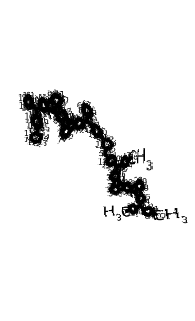 Cc1ccc(N(c2ccc(C)cc2)c2ccc3c4cccc5c6cc7c(cc6n(c3c2)c45)c2cccc3c4ccc(N(c5ccc(C)cc5)c5ccc(CC6CCCC(c8ccc(N(c9ccccc9)c9ccc%10c%11cccc%12c%13cc%14c(cc%13n(c%10c9)c%11%12)c9cccc%10c%11ccc(N(c%12ccccc%12)c%12ccc(C%13CCCCC%13)cc%12)cc%11n%14c%109)cc8)C6)cc5)cc4n7c32)cc1